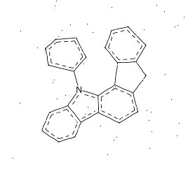 c1ccc(-n2c3ccccc3c3ccc4c(c32)-c2ccccc2C4)cc1